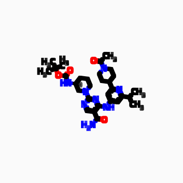 CC(=O)N1CCC(c2cc(Nc3nc(N4CCC[C@H](NC(=O)OC(C)(C)C)C4)ncc3C(N)=O)cc(C(C)C)n2)CC1